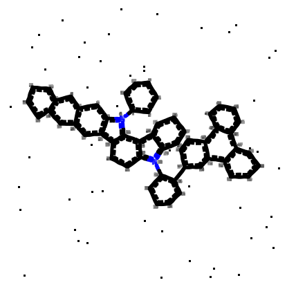 c1ccc(-n2c3cc4cc5ccccc5cc4cc3c3ccc4c(c5ccccc5n4-c4ccccc4-c4ccc5c6ccccc6c6ccccc6c5c4)c32)cc1